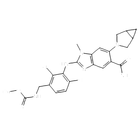 Cn1c(Nc2c(Cl)ccc(CNC(=O)OC(C)(C)C)c2Cl)nc2cc(C(N)=O)c(N3CC4CC4C3)cc21